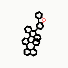 c1ccc2c(c1)-c1c(-c3c4ccccc4c(-c4ccc5oc6ccccc6c5c4)c4ccccc34)cccc1-c1cccc3cccc-2c13